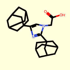 O=C(O)Cn1cc(C23CC4CC(CC(C4)C2)C3)nc1C12CC3CC(CC(C3)C1)C2